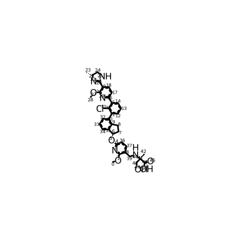 COc1nc(O[C@H]2CCc3c(-c4cccc(-c5ccc(C6=N[C@H](C)CN6)c(OC)n5)c4Cl)cccc32)ccc1CN[C@@](C)(CO)C(=O)O